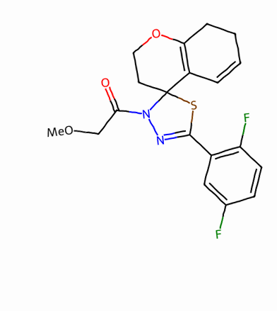 COCC(=O)N1N=C(c2cc(F)ccc2F)SC12CCOC1=C2C=CCC1